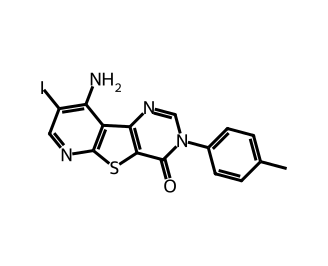 Cc1ccc(-n2cnc3c(sc4ncc(I)c(N)c43)c2=O)cc1